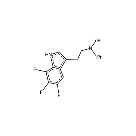 CCCN(CCc1c[nH]c2c(F)c(F)c(F)cc12)C(C)C